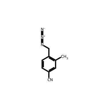 Cc1cc(C#N)ccc1CN=[N+]=[N-]